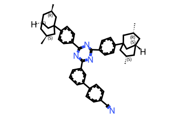 C[C@@H]1C[C@@H]2C[C@H](C)CC(c3ccc(-c4nc(-c5ccc(C67C[C@H](C)C[C@H](C[C@H](C)C6)C7)cc5)nc(-c5cccc(-c6ccc(C#N)cc6)c5)n4)cc3)(C1)C2